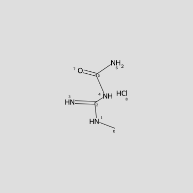 CNC(=N)NC(N)=O.Cl